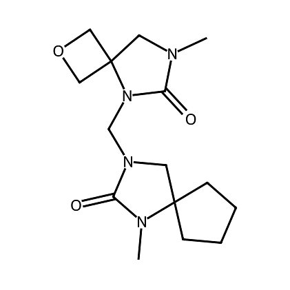 CN1CC2(COC2)N(CN2CC3(CCCC3)N(C)C2=O)C1=O